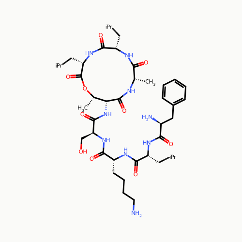 CC(C)C[C@@H]1NC(=O)[C@H](C)NC(=O)[C@H](NC(=O)[C@H](CO)NC(=O)[C@@H](CCCCN)NC(=O)[C@@H](CC(C)C)NC(=O)[C@@H](N)Cc2ccccc2)[C@H](C)OC(=O)[C@H](CC(C)C)NC1=O